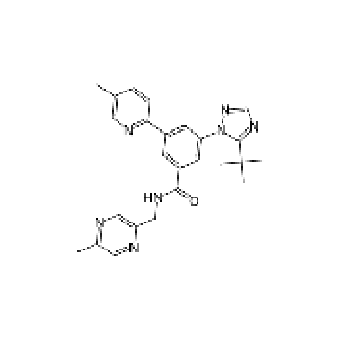 Cc1ccc(-c2cc(C(=O)NCc3cnc(C)cn3)cc(-n3ncnc3C(C)(C)C)c2)nc1